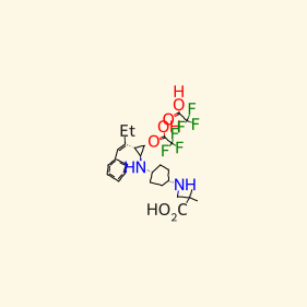 CCC(=Cc1ccccc1)[C@@H]1C[C@H]1N[C@H]1CC[C@@H](NCC(C)(C)C(=O)O)CC1.O=C(O)C(F)(F)F.O=C(O)C(F)(F)F